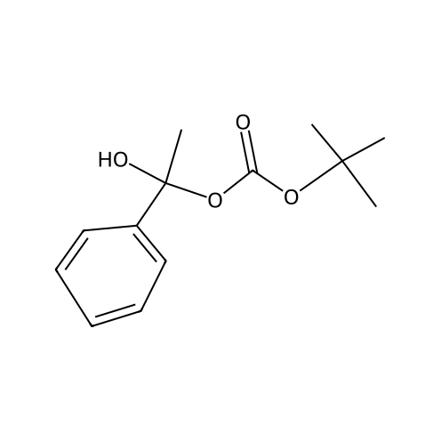 CC(C)(C)OC(=O)OC(C)(O)c1ccccc1